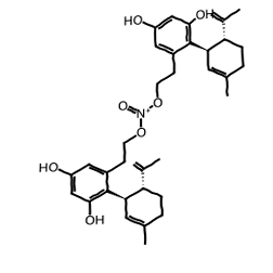 C=C(C)[C@@H]1CCC(C)=C[C@H]1c1c(O)cc(O)cc1CCO[N+](=O)OCCc1cc(O)cc(O)c1[C@@H]1C=C(C)CC[C@H]1C(=C)C